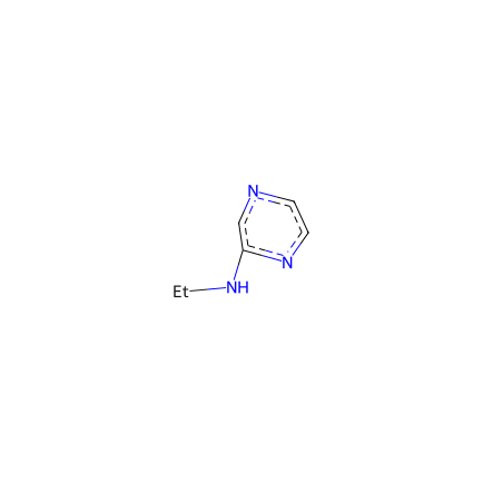 [CH2]CNc1cnccn1